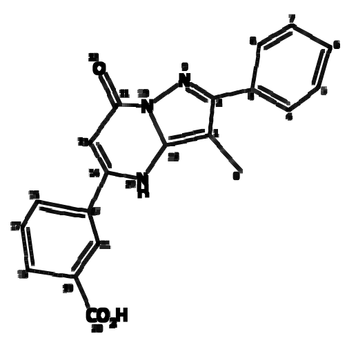 Cc1c(-c2ccccc2)nn2c(=O)cc(-c3cccc(C(=O)O)c3)[nH]c12